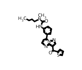 CCCCN(C)C(=O)Nc1cccc(-c2ccnc3c(C(=O)c4cccs4)cnn23)c1